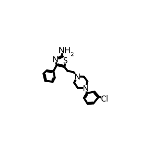 Nc1nc(-c2ccccc2)c(CCN2CCN(c3cccc(Cl)c3)CC2)s1